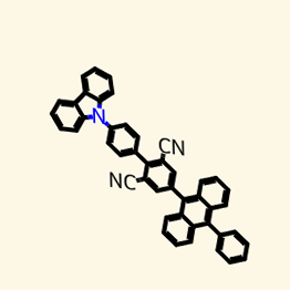 N#Cc1cc(-c2c3ccccc3c(-c3ccccc3)c3ccccc23)cc(C#N)c1-c1ccc(-n2c3ccccc3c3ccccc32)cc1